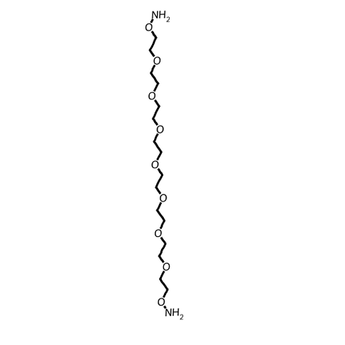 NOCCOCCOCCOCCOCCOCCOCCOCCON